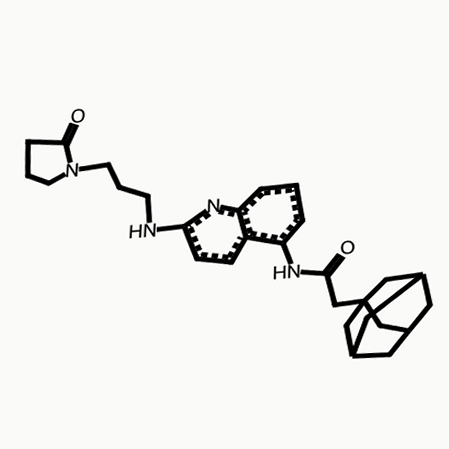 O=C(CC12CC3CC(CC(C3)C1)C2)Nc1cccc2nc(NCCCN3CCCC3=O)ccc12